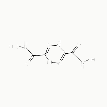 CNC(=O)C1=NNC(C(=O)NC)=NN1